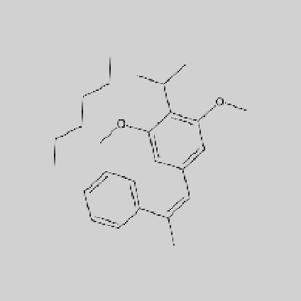 CCCCCC.COc1cc(C=C(C)c2ccccc2)cc(OC)c1C(C)C